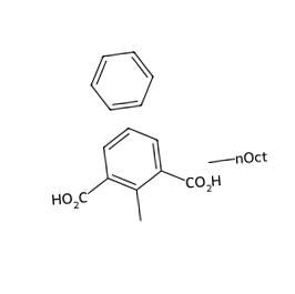 CCCCCCCCC.Cc1c(C(=O)O)cccc1C(=O)O.c1ccccc1